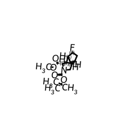 COC(=O)[C@@H]1[C@@H]2[C@H](CN1C(=O)OC(C)(C)C)[C@H]1C[C@@H]2[C@H](F)C1